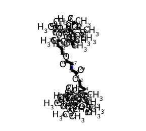 C[Si](C)(C)O[Si](C)(O[Si](C)(C)CCCOC(=O)/C=C/C(=O)OCCC[Si](C)(C)O[Si](C)(O[Si](C)(C)C)O[Si](O[Si](C)(C)C)(O[Si](C)(C)C)O[Si](C)(C)C)O[Si](O[Si](C)(C)C)(O[Si](C)(C)C)O[Si](C)(C)C